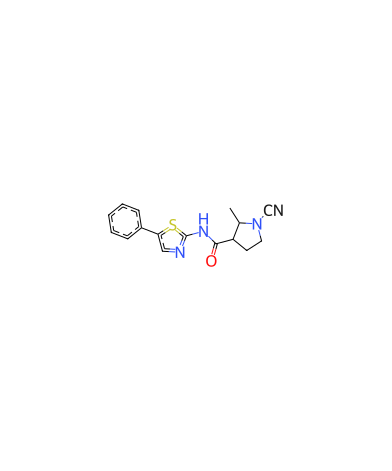 CC1C(C(=O)Nc2ncc(-c3ccccc3)s2)CCN1C#N